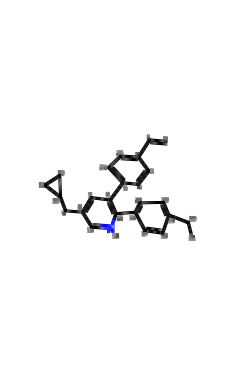 C=Cc1ccc(-c2cc(CC3CC3)cnc2-c2ccc(CC)cc2)cc1